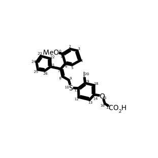 COc1ccccc1/C(=C\CSc1ccc(OCC(=O)O)cc1I)c1ccccc1